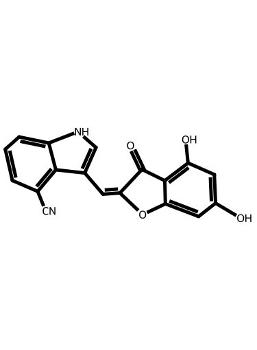 N#Cc1cccc2[nH]cc(C=C3Oc4cc(O)cc(O)c4C3=O)c12